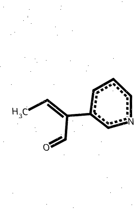 CC=C(C=O)c1cccnc1